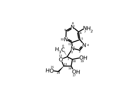 C[C@@]1(n2cnc3c(N)ncnc32)O[C@H](CO)C(O)C1O